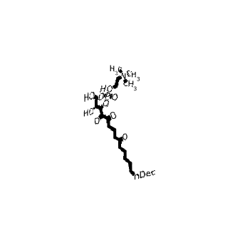 CCCCCCCCCCCCCCCC(=O)CCCC(=O)C(=O)C(OP(=O)(O)OCC[N+](C)(C)C)[C@@H](O)CO